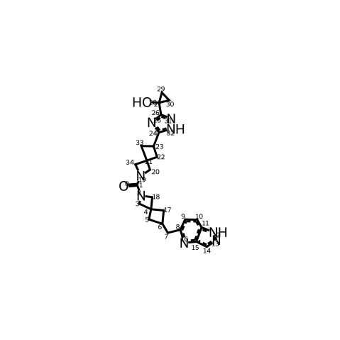 O=C(N1CC2(CC(Cc3ccc4[nH]ncc4n3)C2)C1)N1CC2(CC(c3nc(C4(O)CC4)n[nH]3)C2)C1